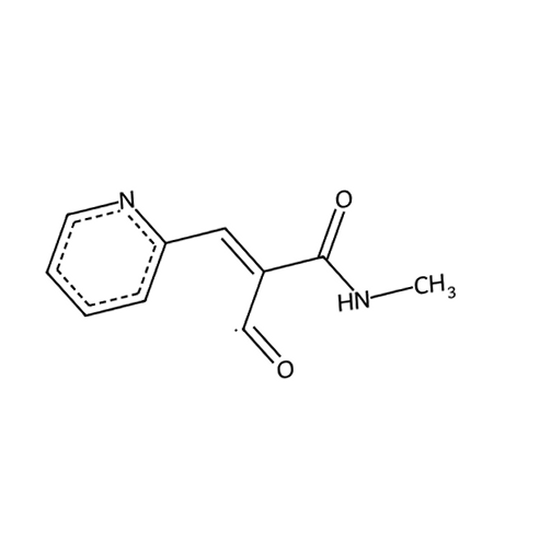 CNC(=O)/C([C]=O)=C/c1ccccn1